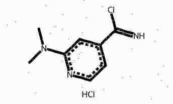 CN(C)c1cc(C(=N)Cl)ccn1.Cl